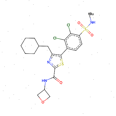 CC(C)(C)NS(=O)(=O)c1ccc(-c2sc(C(=O)NC3COC3)nc2CC2CCCCC2)c(Cl)c1Cl